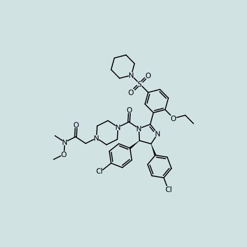 CCOc1ccc(S(=O)(=O)N2CCCCC2)cc1C1=N[C@@H](c2ccc(Cl)cc2)[C@@H](c2ccc(Cl)cc2)N1C(=O)N1CCN(CC(=O)N(C)OC)CC1